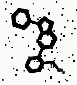 NCc1cccnc1-c1ncc2ccc(-c3ccccc3)n2n1